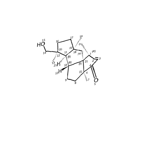 C[C@@H]1C=CC(=O)[C@@]2(C)CC[C@@H]3[C@H]4[C@@](C)(CO)CC[C@@]4(C)C[C@@]132